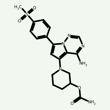 CS(=O)(=O)c1ccc(-c2cc(N3CCCC(OC(N)=O)C3)c3c(N)ncnn23)cc1